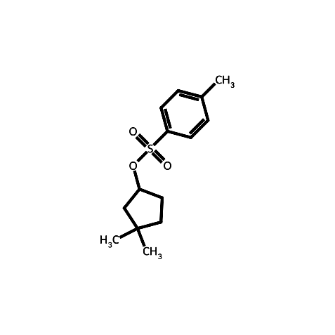 Cc1ccc(S(=O)(=O)OC2CCC(C)(C)C2)cc1